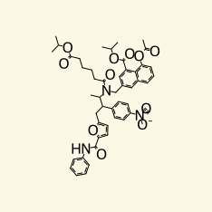 CC(=O)Oc1cccc2cc(CN(C(=O)CCCCC(=O)OC(C)C)C(C)C(Cc3ccc(C(=O)Nc4ccccc4)o3)c3ccc([N+](=O)[O-])cc3)cc(C(=O)OC(C)C)c12